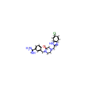 N=C(N)c1cccc(CN2CCN(Cc3nc4ccc(Cl)cc4[nH]3)CC2=O)c1